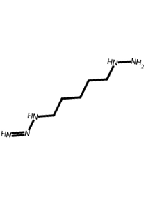 N=NNCCCCCNN